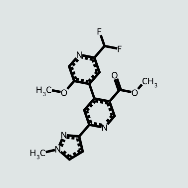 COC(=O)c1cnc(-c2ccn(C)n2)cc1-c1cc(C(F)F)ncc1OC